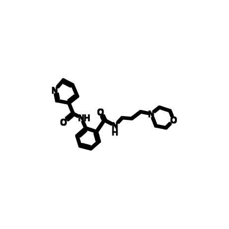 O=C(Nc1ccccc1C(=O)NCCCN1CCOCC1)c1cccnc1